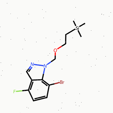 C[Si](C)(C)CCOCn1ncc2c(F)ccc(Br)c21